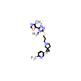 Cc1ncoc1-c1nnc(SCCCN2CCC3(C[C@@H]3c3ccc(C(F)(F)F)nc3)C2)n1C